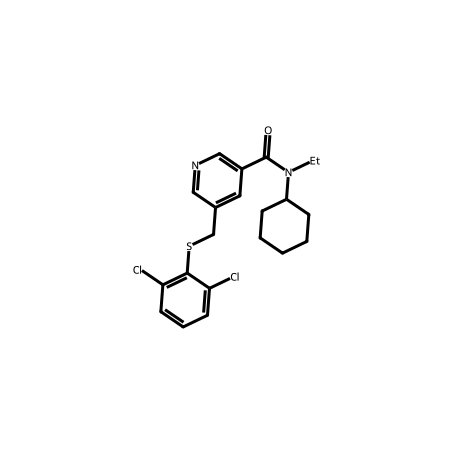 CCN(C(=O)c1cncc(CSc2c(Cl)cccc2Cl)c1)C1CCCCC1